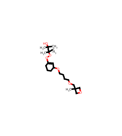 CC1(COCCCCOC2C=C(OOC(C)(C)C(C)(C)O)CCC2)COC1